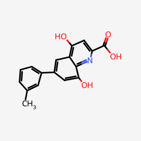 Cc1cccc(-c2cc(O)c3nc(C(=O)O)cc(O)c3c2)c1